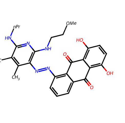 CCCNc1nc(NCCOC)c(/N=N/c2cccc3c2C(=O)c2c(O)ccc(O)c2C3=O)c(C)c1C#N